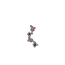 CCn1c(-c2cccc(-c3ccc4c5c(ccc4c3)-c3c(ccc4cc(-c6cccc7nc(-c8cccc(-c9ccc%10c%11c(ccc%10c9)-c9c(ccc%10ccccc9%10)C%119c%10ccccc%10-c%10ccccc%109)c8)n(C)c67)ccc34)C53c4ccccc4-c4ccccc43)c2)nc2ccccc21